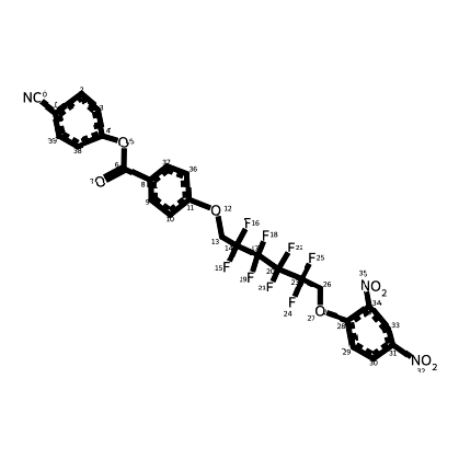 N#Cc1ccc(OC(=O)c2ccc(OCC(F)(F)C(F)(F)C(F)(F)C(F)(F)COc3ccc([N+](=O)[O-])cc3[N+](=O)[O-])cc2)cc1